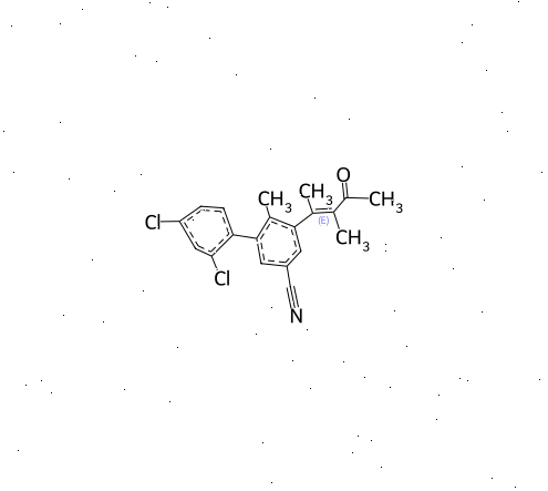 CC(=O)/C(C)=C(\C)c1cc(C#N)cc(-c2ccc(Cl)cc2Cl)c1C